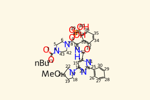 CCCCOC(=O)N1CCN(C(=O)C(NC(=O)c2cc(N3CCC(OC)C3)nc(-c3ccccc3)n2)c2ccccc2P(=O)(O)O)CC1